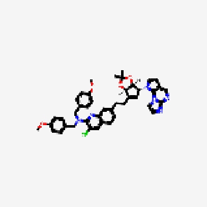 COc1ccc(CN(Cc2ccc(OC)cc2)c2nc3cc(CCC4=C[C@@H](n5ccc6cnc7nccn7c65)[C@@H]5OC(C)(C)O[C@H]45)ccc3cc2Cl)cc1